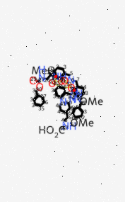 COc1ccc(CN(Cc2ccc(OC)cc2)S(=O)(=O)c2c(S(=O)(=O)NC(C)CNC(=O)OCc3ccccc3)ccc(N3CCC(CCNC(=O)O)CC3)c2-c2nnn(Cc3ccc(OC)cc3)n2)cc1